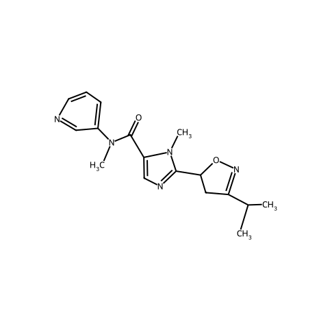 CC(C)C1=NOC(c2ncc(C(=O)N(C)c3cccnc3)n2C)C1